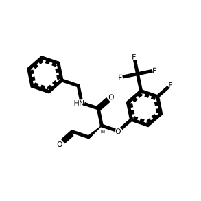 O=CC[C@H](Oc1ccc(F)c(C(F)(F)F)c1)C(=O)NCc1ccccc1